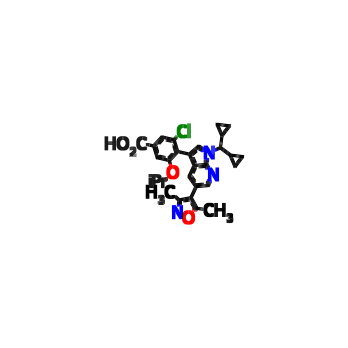 Cc1noc(C)c1-c1cnc2c(c1)c(-c1c(Cl)cc(C(=O)O)cc1OC(C)C)cn2C(C1CC1)C1CC1